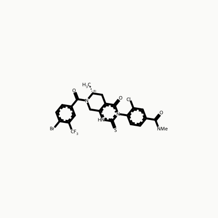 CNC(=O)c1ccc(-n2c(=S)[nH]c3c(c2=O)C[C@@H](C)N(C(=O)c2ccc(Br)c(C(F)(F)F)c2)C3)c(Cl)c1